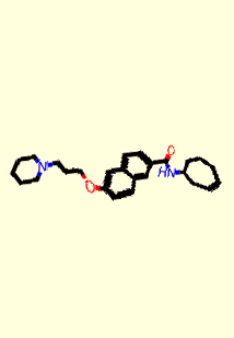 O=C(NC1CCCCCC1)c1ccc2cc(OCCCN3CCCCC3)ccc2c1